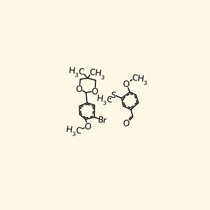 COc1ccc(C2OCC(C)(C)CO2)cc1Br.COc1ccc(C=O)cc1SC